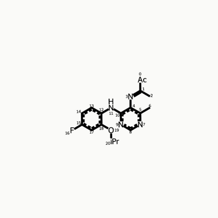 CC(=O)/C(C)=N/c1c(C)ncnc1Nc1ccc(F)cc1OC(C)C